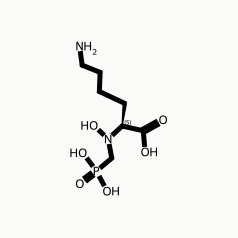 NCCCC[C@@H](C(=O)O)N(O)CP(=O)(O)O